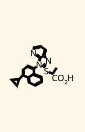 CC(Sc1nc2cccnc2n1-c1ccc(C2CC2)c2ccccc12)C(=O)O